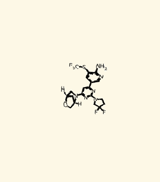 Nc1ncc(-c2cc(N3C[C@@H]4C[C@H]3CO4)nc(N3CCC(F)(F)C3)n2)cc1SC(F)(F)F